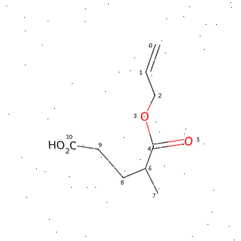 C=CCOC(=O)C(C)CCC(=O)O